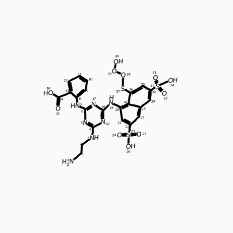 NCCNc1nc(Nc2ccccc2C(=O)O)nc(Nc2cc(S(=O)(=O)O)cc3cc(S(=O)(=O)O)cc(SOOO)c23)n1